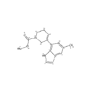 Cc1cc2cc[nH]c2c(C2=CCCN(C(=O)OC(C)(C)C)C2)n1